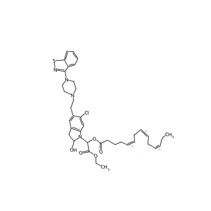 CC/C=C\C/C=C\C/C=C\CCCC(=O)OC(C(=O)OCC)N1c2cc(Cl)c(CCN3CCN(c4nsc5ccccc45)CC3)cc2CC1O